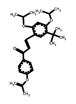 C=C(C)Oc1ccc(C(=O)/C=C/c2cc(C(C)(C)C)c(OC(C)C)cc2OC(C)C)cc1